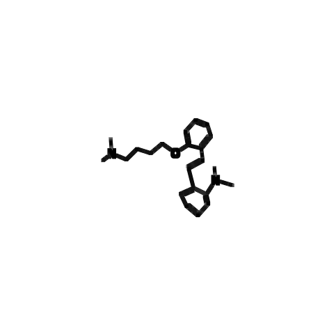 CN(C)CCCCOc1ccccc1/C=C/c1ccccc1N(C)C